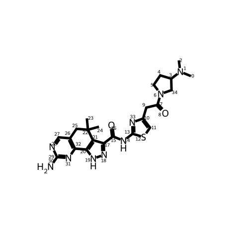 CN(C)C1CCN(C(=O)Cc2csc(NC(=O)c3n[nH]c4c3C(C)(C)Cc3cnc(N)nc3-4)n2)C1